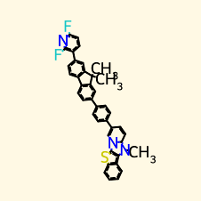 CN1c2c(sc3ccccc23)N2C=C(c3ccc(-c4ccc5c(c4)C(C)(C)c4cc(-c6ccc(F)nc6F)ccc4-5)cc3)C=CC12